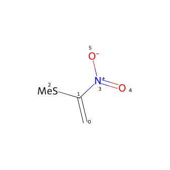 C=C(SC)[N+](=O)[O-]